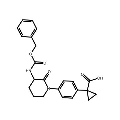 O=C(NC1CCCN(c2ccc(C3(C(=O)O)CC3)cc2)C1=O)OCc1ccccc1